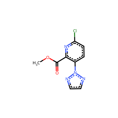 COC(=O)c1nc(Cl)ccc1-n1nccn1